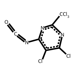 O=C=Nc1nc(C(Cl)(Cl)Cl)nc(Cl)c1Cl